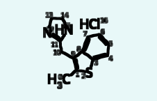 Cc1sc2ccccc2c1CC1=NCCN1.Cl